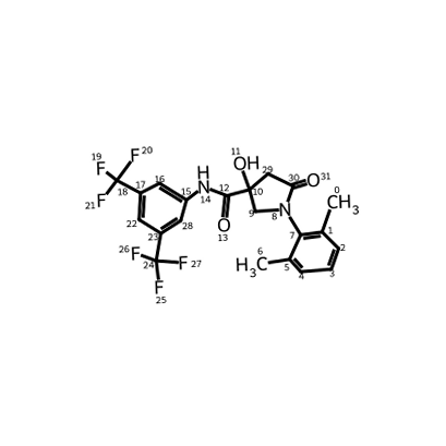 Cc1cccc(C)c1N1CC(O)(C(=O)Nc2cc(C(F)(F)F)cc(C(F)(F)F)c2)CC1=O